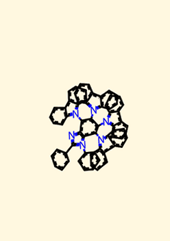 c1ccc(-c2nc3c(-n4c5ccccc5c5ccccc54)c(-n4c5ccccc5c5ccccc54)c(-n4c5ccccc5c5ccccc54)c(-n4c5ccccc5c5ccccc54)c3n2-c2ccccc2)cc1